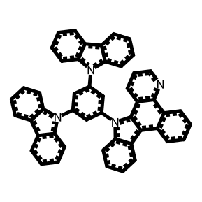 c1ccc2c(c1)c1ncccc1c1c2c2ccccc2n1-c1cc(-n2c3ccccc3c3ccccc32)cc(-n2c3ccccc3c3ccccc32)c1